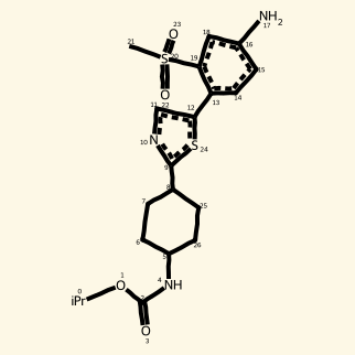 CC(C)OC(=O)NC1CCC(c2ncc(-c3ccc(N)cc3S(C)(=O)=O)s2)CC1